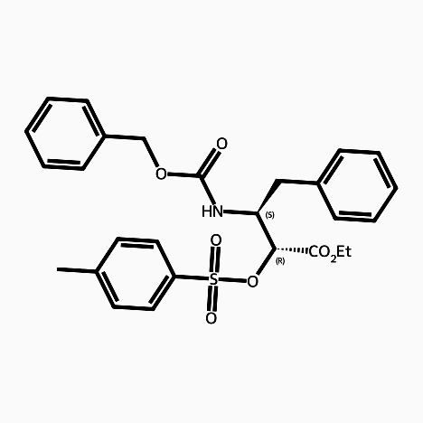 CCOC(=O)[C@H](OS(=O)(=O)c1ccc(C)cc1)[C@H](Cc1ccccc1)NC(=O)OCc1ccccc1